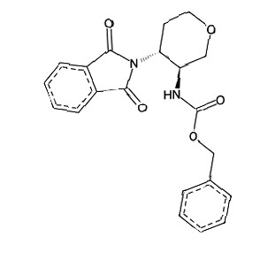 O=C(N[C@@H]1COCC[C@H]1N1C(=O)c2ccccc2C1=O)OCc1ccccc1